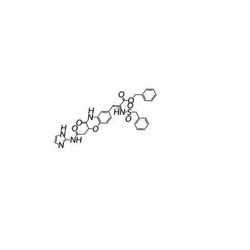 O=C(CC1Oc2ccc(C[C@H](NS(=O)(=O)Cc3ccccc3)C(=O)OCc3ccccc3)cc2NC1=O)Nc1ncc[nH]1